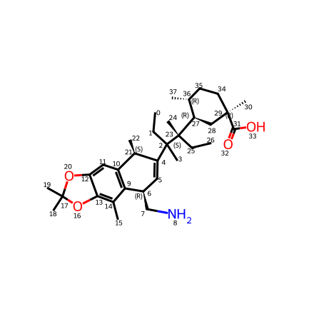 CCC(C)(C1=C[C@@H](CN)c2c(cc3c(c2C)OC(C)(C)O3)[C@H]1C)[C@@](C)(CC)[C@@H]1C[C@](C)(C(=O)O)CC[C@H]1C